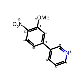 COc1cc(-c2cccnc2)ccc1[N+](=O)[O-]